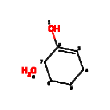 O.OC1=CCCCC1